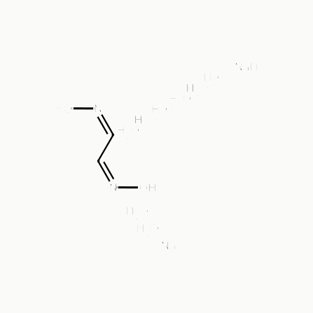 O.O.O.O.O.O.O.O.O/N=C\C=N/O.[NaH].[NaH]